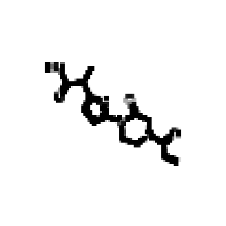 C=CC(=O)N1CCN(c2ccc(C(C)C(=O)O)o2)C(=O)C1